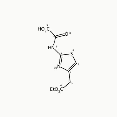 CCOC(=O)Cc1csc(NC(=O)C(=O)O)n1